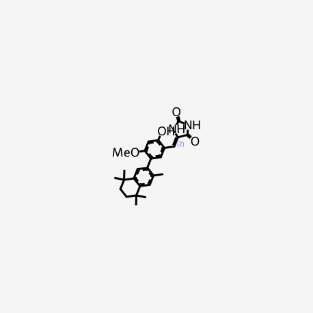 COc1cc(O)c(/C=C2\NC(=O)NC2=O)cc1-c1cc2c(cc1C)C(C)(C)CCC2(C)C